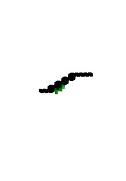 CCCCCCCCc1ccc(-c2ccc(-c3ccc(-c4ccc(CCCC)cc4)c(F)c3F)cc2)cc1